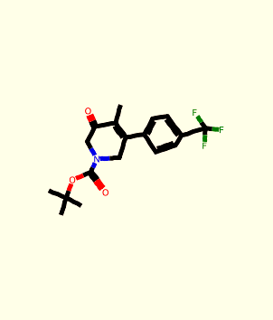 CC1=C(c2ccc(C(F)(F)F)cc2)CN(C(=O)OC(C)(C)C)CC1=O